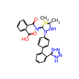 CC1=S(C)C(=NC(=O)c2ccccc2C(=O)O)N(c2ccc(-c3ccccc3-c3nnn[nH]3)cc2)N1